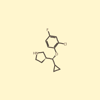 Fc1ccc(O[C@@H](C2CC2)[C@H]2CCNC2)c(Cl)c1